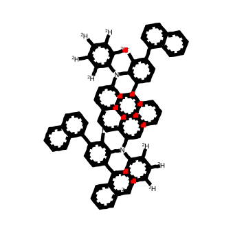 [2H]c1c([2H])c([2H])c(N(c2c(-c3cccc4ccccc34)ccc(-c3cccc4ccccc34)c2F)c2ccc3ccc4c(N(c5c([2H])c([2H])c([2H])c([2H])c5[2H])c5c(-c6cccc7ccccc67)ccc(-c6cccc7ccccc67)c5F)ccc5ccc2c3c54)c([2H])c1[2H]